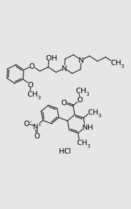 CCCCN1CCN(CC(O)COc2ccccc2OC)CC1.COC(=O)C1=C(C)NC(C)=CC1c1cccc([N+](=O)[O-])c1.Cl